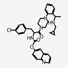 CC(NCC1CC1)c1ccccc1N1CCN(C(=O)C(Cc2ccc(Cl)cc2)NC(=O)Oc2ccc3ncccc3c2)CC1